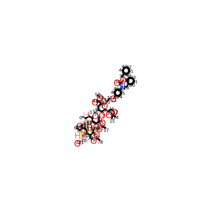 CC[C@H](C)C1O[C@H](O[C@H]2C([C@H]3COC(C)(C)O3)O[C@@](OCCOc3ccc(N(Cc4ccccc4)C(=O)OCc4ccccc4)cc3)(C(=O)OC)C[C@H]2C)C(OC(C)=O)[C@@H](O[C@H]2O[C@@H]([C@@H](C)CC)[C@@H](PBB=O)C(C)C2OC(C)=O)[C@@H]1PBB=O